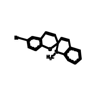 CN1c2ccccc2C=CC12C=Cc1cc(Br)ccc1O2